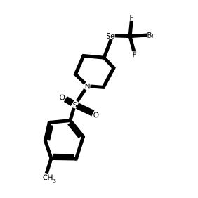 Cc1ccc(S(=O)(=O)N2CCC([Se]C(F)(F)Br)CC2)cc1